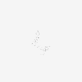 COC(=O)c1ccc(N2CCN(CC3=C(c4cc5c(s4)CCN(c4ccc(F)cc4)C5)CC(C)(C)CC3)CC2)cc1Oc1cnc2[nH]ccc2c1